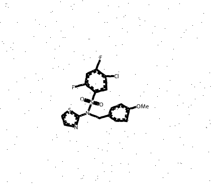 COc1ccc(CN(c2nccs2)S(=O)(=O)c2cc(Cl)c(F)cc2F)cc1